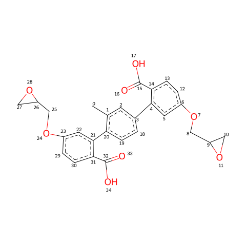 Cc1cc(-c2cc(OCC3CO3)ccc2C(=O)O)ccc1-c1cc(OCC2CO2)ccc1C(=O)O